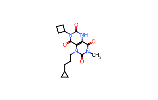 Cn1c(=O)c2[nH]c(=O)n(C3CCC3)c(=O)c2n(CCCC2CC2)c1=O